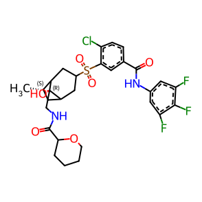 C[C@H]1CC2CC(S(=O)(=O)c3cc(C(=O)Nc4cc(F)c(F)c(F)c4)ccc3Cl)CC1[C@@]2(O)CNC(=O)C1CCCCO1